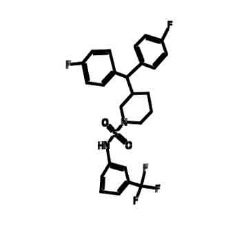 O=S(=O)(Nc1cccc(C(F)(F)F)c1)N1CCCC(C(c2ccc(F)cc2)c2ccc(F)cc2)C1